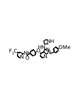 COc1ccc(Cn2nc(N[C@@H]3CCNC3)c3c(Oc4ccc(C(=O)Nc5cc(C(F)(F)F)ccn5)cc4)ccnc32)cc1